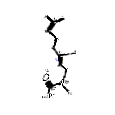 CC(C)=CCC/C(C)=C/CN(C)C(=O)C(C)C